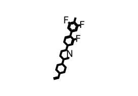 C=CC1CCC(C2C=NC(C3C=C(F)C(c4cc(F)c(C)c(F)c4)=CC3)CC2)CC1